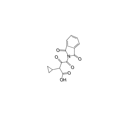 O=C(O)C(C(=O)C(=O)N1C(=O)c2ccccc2C1=O)C1CC1